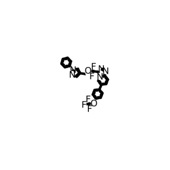 FC(F)(F)Oc1ccc(-c2ccc3nnc(C(F)(F)OCc4cnn(-c5ccccc5)c4)n3c2)cc1